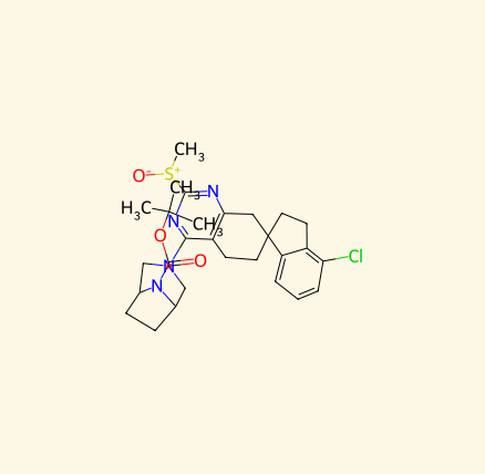 C[S+]([O-])c1nc2c(c(N3CC4CCC(C3)N4C(=O)OC(C)(C)C)n1)CCC1(CCc3c(Cl)cccc31)C2